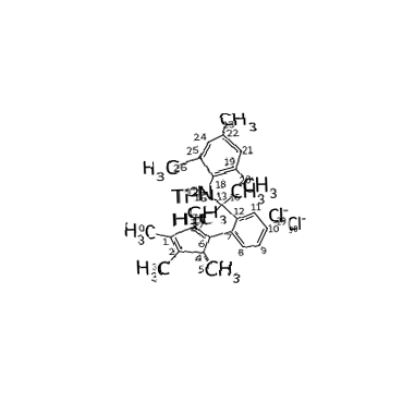 CC1=C(C)C(C)C(c2ccccc2C(C)(C)[N]([Ti+2])c2c(C)cc(C)cc2C)=C1C.[Cl-].[Cl-]